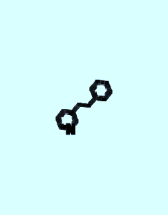 c1ccc(CCc2cccnc2)cc1